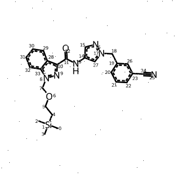 C[Si](C)(C)CCOCn1nc(C(=O)Nc2cnn(Cc3cccc(C#N)c3)c2)c2ccccc21